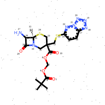 CC(C)(C)C(=O)OCOC(=O)C1(CSc2ccc3nnnn3n2)CS[C@@H]2C(N)C(=O)N2C1